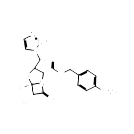 COc1ccc(COC(=O)[C@@H]2N3C(=O)[C@H](Br)[C@@H]3S[C@@]2(C)Cn2ccnn2)cc1